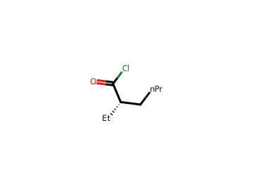 CCCC[C@H](CC)C(=O)Cl